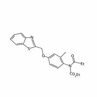 CCOC(=O)N(C(=O)CC)c1ccc(OCc2nc3ccccc3s2)cc1C